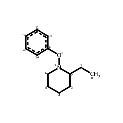 CCC1CCCCN1Oc1ccccc1